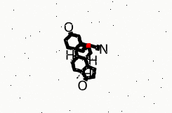 C[C@]12CC[C@H]3[C@@H](CC=C4CC(=O)CCC43C=CC#N)[C@@H]1CCC2=O